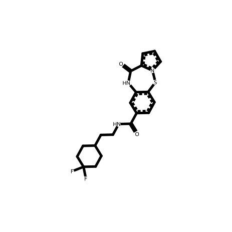 O=C(NCCC1CCC(F)(F)CC1)c1ccc2c(c1)NC(=O)c1cccn1S2